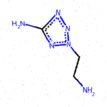 NCCn1nnc(N)n1